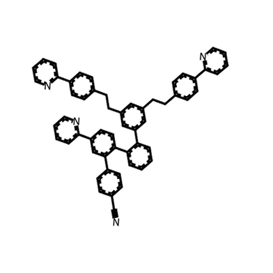 N#Cc1ccc(-c2cc(-c3ccccn3)ccc2-c2ccccc2-c2cc(CCc3ccc(-c4ccccn4)cc3)cc(CCc3ccc(-c4ccccn4)cc3)c2)cc1